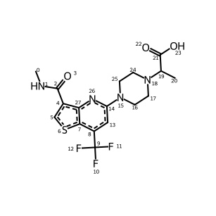 CNC(=O)c1csc2c(C(F)(F)F)cc(N3CCN(C(C)C(=O)O)CC3)nc12